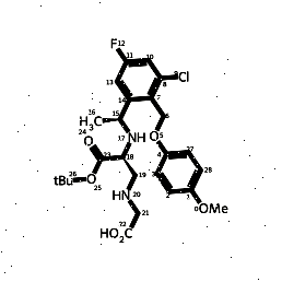 COc1ccc(OCc2c(Cl)cc(F)cc2[C@H](C)N[C@@H](CNCC(=O)O)C(=O)OC(C)(C)C)cc1